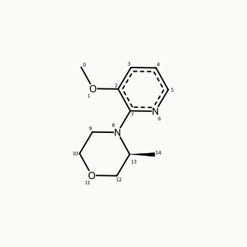 COc1cccnc1N1CCOC[C@@H]1C